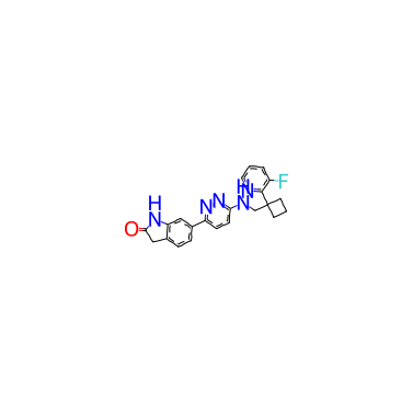 O=C1Cc2ccc(-c3ccc(NCC4(c5ncccc5F)CCC4)nn3)cc2N1